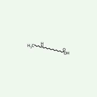 CCCCCNCCCCCCCCCCCC(=O)O